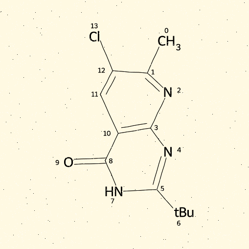 Cc1nc2nc(C(C)(C)C)[nH]c(=O)c2cc1Cl